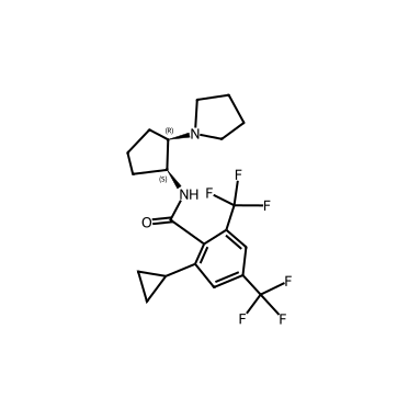 O=C(N[C@H]1CCC[C@H]1N1CCCC1)c1c(C2CC2)cc(C(F)(F)F)cc1C(F)(F)F